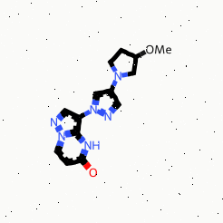 COC1CCN(c2cnn(-c3cnn4ccc(=O)[nH]c34)c2)C1